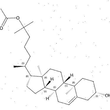 CC(=O)OC(C)(C)CCC[C@H](C)[C@H]1CC[C@H]2[C@@H]3CC=C4C[C@@H](O)CC[C@]4(C)[C@H]3CC[C@]12C